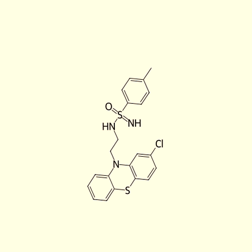 Cc1ccc(S(=N)(=O)NCCN2c3ccccc3Sc3ccc(Cl)cc32)cc1